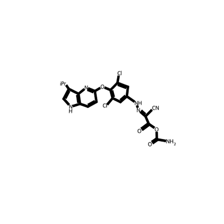 CC(C)c1c[nH]c2ccc(Oc3c(Cl)cc(N/N=C(\C#N)C(=O)OC(N)=O)cc3Cl)nc12